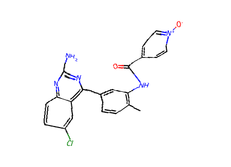 Cc1ccc(-c2nc(N)nc3ccc(Cl)cc23)cc1NC(=O)c1cc[n+]([O-])cc1